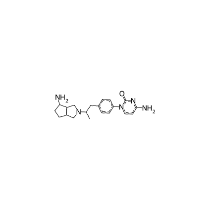 CC(Cc1ccc(-n2ccc(N)nc2=O)cc1)N1CC2CCC(N)C2C1